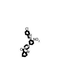 O=C(c1ccccc1Br)N1CCN(c2ccc([N+](=O)[O-])c(NCc3ccc(Cl)cc3)c2)CC1